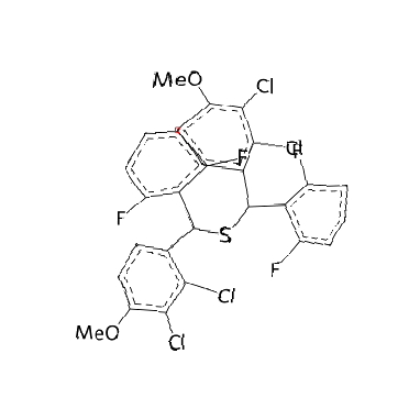 COc1ccc(C(SC(c2ccc(OC)c(Cl)c2Cl)c2c(F)cccc2F)c2c(F)cccc2F)c(Cl)c1Cl